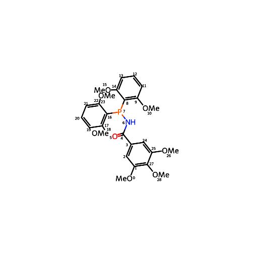 COc1cc(C(=O)NP(c2c(OC)cccc2OC)c2c(OC)cccc2OC)cc(OC)c1OC